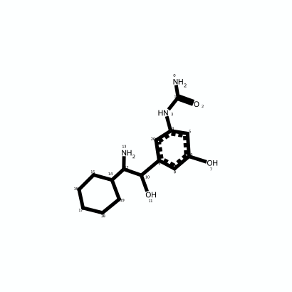 NC(=O)Nc1cc(O)cc(C(O)C(N)C2CCCCC2)c1